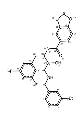 CCc1cccc(CNC[C@@H](O)[C@H](Cc2cc(F)cc(F)c2)NC(=O)c2ccc3c(c2)OCO3)c1